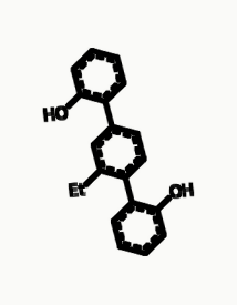 CCc1cc(-c2ccccc2O)ccc1-c1ccccc1O